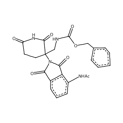 CC(=O)Nc1cccc2c1C(=O)N(C1(CNC(=O)OCc3ccccc3)CCC(=O)NC1=O)C2=O